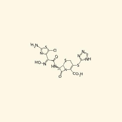 Nc1nc(C(=NO)C(=O)N[C@@H]2C(=O)N3C(C(=O)O)=C(Sc4nnc[nH]4)CSC23)c(Cl)s1